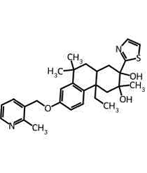 CCC12CC(C)(O)C(O)(c3nccs3)CC1CC(C)(C)c1cc(OCc3cccnc3C)ccc12